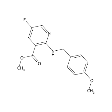 COC(=O)c1cc(F)cnc1NCc1ccc(OC)cc1